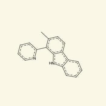 Cc1ccc2c([nH]c3ccccc32)c1-c1ccccn1